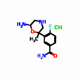 CC1(c2cc(C(N)=O)ccc2F)CNC[C@H](N)O1.Cl